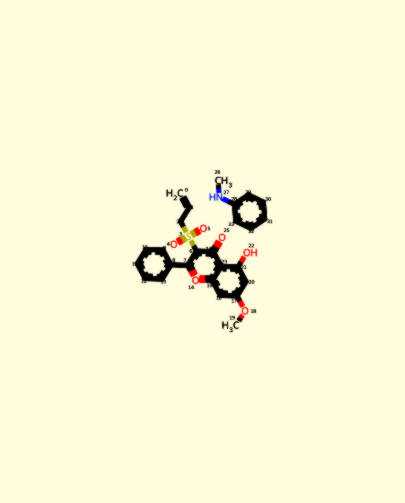 C=CCS(=O)(=O)c1c(-c2ccccc2)oc2cc(OC)cc(O)c2c1=O.CNc1ccccc1